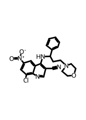 N#Cc1cnc2c(Cl)cc([N+](=O)[O-])cc2c1NC(CCN1CCOCC1)c1ccccc1